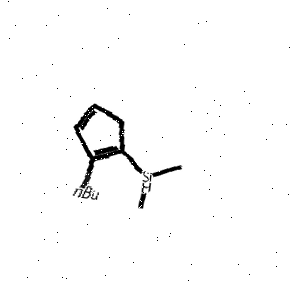 CCCCC1=C([SiH](C)C)CC=C1